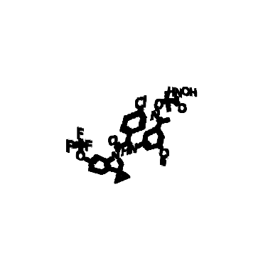 COc1cc(NC(C(=O)N2CC3(CC3)c3ccc(OC(F)(F)F)cc32)c2ccc(Cl)cc2)cc(C(C)=NOC(C)(C)C(=O)NO)c1